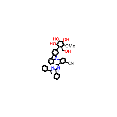 C=C(/N=C(\N=C(/C)c1ccccc1)c1ccccc1)c1cc(C#N)ccc1-n1c2ccccc2c2ccc(-c3c(O)c(O)c(O)c(OC)c3CO)cc21